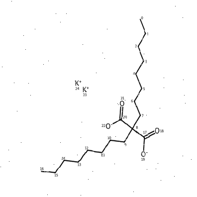 CCCCCCCCC(CCCCCCCC)(C(=O)[O-])C(=O)[O-].[K+].[K+]